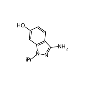 CC(C)n1nc(N)c2ccc(O)cc21